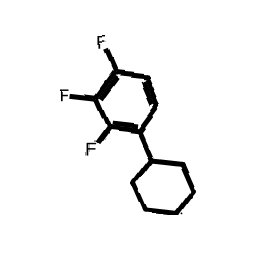 Fc1ccc(C2CC[CH]CC2)c(F)c1F